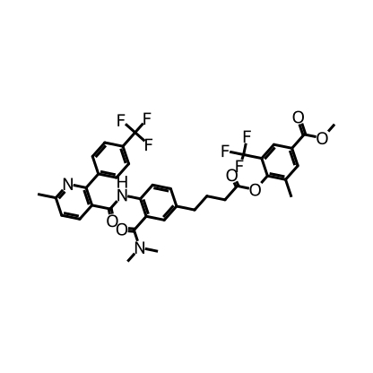 COC(=O)c1cc(C)c(OC(=O)CCCc2ccc(NC(=O)c3ccc(C)nc3-c3ccc(C(F)(F)F)cc3)c(C(=O)N(C)C)c2)c(C(F)(F)F)c1